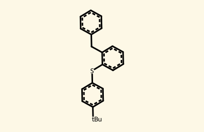 CC(C)(C)c1ccc(Sc2ccccc2Cc2ccccc2)cc1